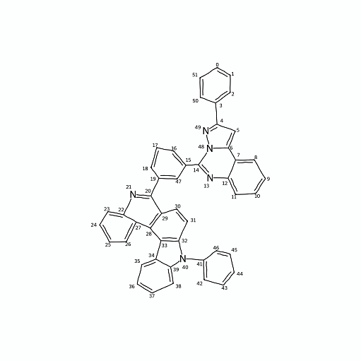 c1ccc(-c2cc3c4ccccc4nc(-c4cccc(-c5nc6ccccc6c6c5ccc5c6c6ccccc6n5-c5ccccc5)c4)n3n2)cc1